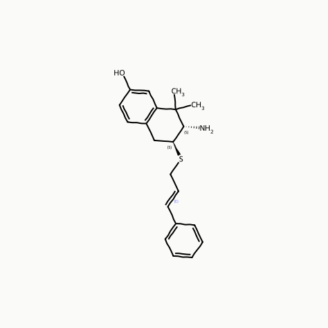 CC1(C)c2cc(O)ccc2C[C@H](SC/C=C/c2ccccc2)[C@H]1N